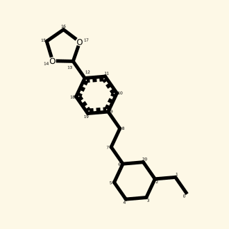 CCC1CCCC(CCc2ccc(C3OCCO3)cc2)C1